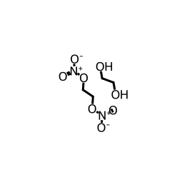 O=[N+]([O-])OCCO[N+](=O)[O-].OCCO